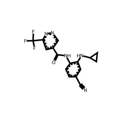 N#Cc1ccc(NC(=O)c2cnnc(C(F)(F)F)c2)c(NC2CC2)c1